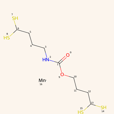 O=C(NCCCC(S)S)OCCCC(S)S.[Mn]